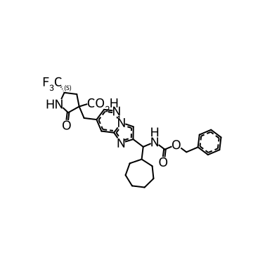 O=C(NC(c1cn2ncc(CC3(C(=O)O)C[C@@H](C(F)(F)F)NC3=O)cc2n1)C1CCCCCC1)OCc1ccccc1